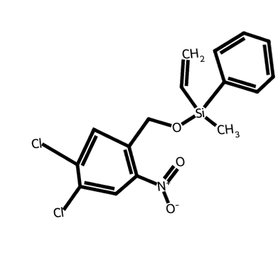 C=C[Si](C)(OCc1cc(Cl)c(Cl)cc1[N+](=O)[O-])c1ccccc1